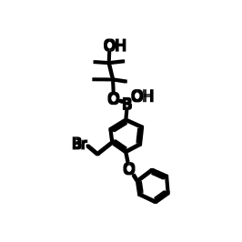 CC(C)(O)C(C)(C)OB(O)c1ccc(Oc2ccccc2)c(CBr)c1